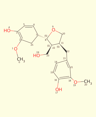 COC1=C(O)C=CC([C@@H]2OC[C@@H](Cc3ccc(O)c(OC)c3)[C@H]2CO)C1